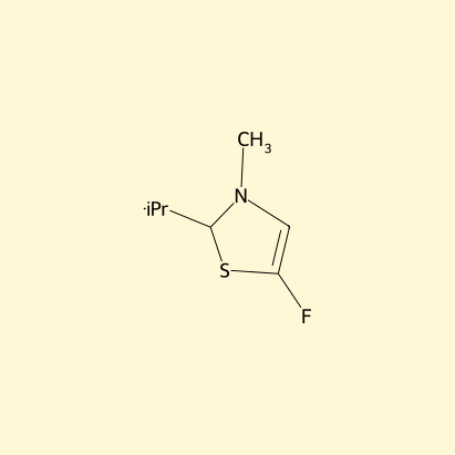 C[C](C)C1SC(F)=CN1C